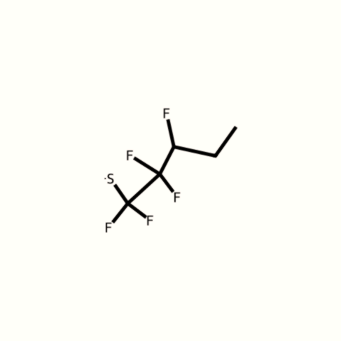 CCC(F)C(F)(F)C(F)(F)[S]